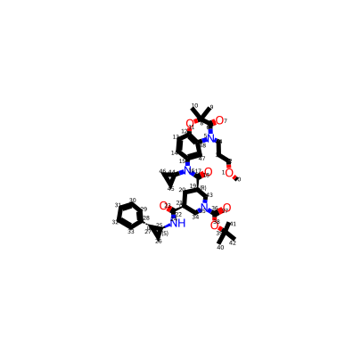 COCCCN1C(=O)C(C)(C)Oc2ccc(N(C(=O)[C@@H]3C[C@H](C(=O)N[C@H]4C[C@@H]4c4ccccc4)CN(C(=O)OC(C)(C)C)C3)C3CC3)cc21